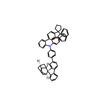 c1ccc(-c2ccc(N(c3ccc(-c4ccc5c(c4)[C@]4(c6ccccc6-5)[C@@H]5CC6C[C@@H](C5)C[C@@H]4C6)cc3)c3ccccc3-c3ccc4c(c3)-c3ccccc3C43CCCC3)cc2)cc1